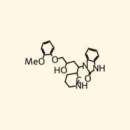 COc1ccccc1OCC(O)CC(C1CCCNC1)n1c(=O)[nH]c2ccccc21